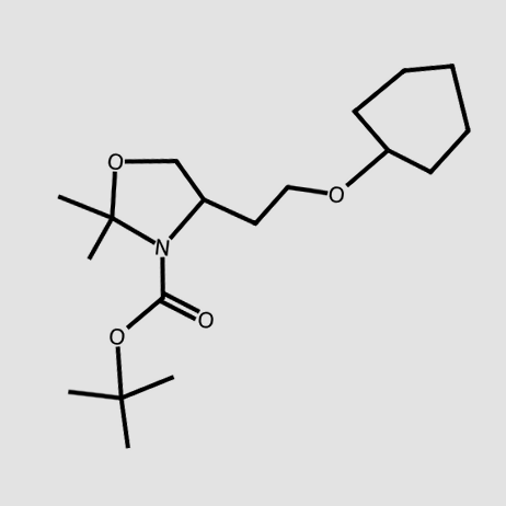 CC(C)(C)OC(=O)N1C(CCOC2CCCCC2)COC1(C)C